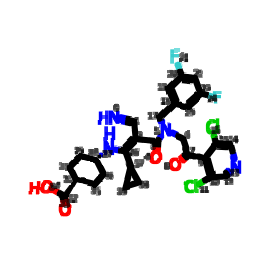 N=C/C(C(=O)N(CC(=O)c1c(Cl)cncc1Cl)Cc1cc(F)cc(F)c1)=C(\N[C@H]1CC[C@H](C(=O)O)CC1)C1CC1